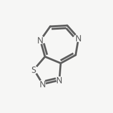 C1=CN=c2snnc2=CN=1